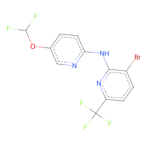 FC(F)Oc1ccc(Nc2nc(C(F)(F)F)ccc2Br)nc1